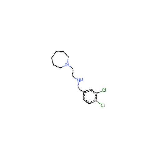 Clc1ccc(CNCCN2CCCCCC2)cc1Cl